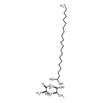 C=C(C)C(=O)O.C=C(C)C(=O)O.CCCCCCCCCCCCCCCCCCCCC(O)O